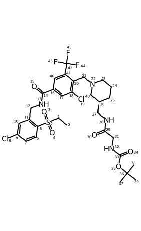 CCS(=O)(=O)c1ccc(Cl)cc1CNC(=O)c1cc(Cl)c(CN2CCC[C@@H](CNC(=O)CNC(=O)OC(C)(C)C)C2)c(C(F)(F)F)c1